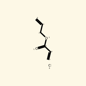 C=CCOC(=O)C=C.[C]